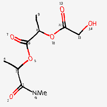 CNC(=O)C(C)OC(=O)C(C)OC(=O)CO